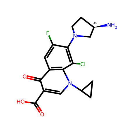 N[C@@H]1CCN(c2c(F)cc3c(=O)c(C(=O)O)cn(C4CC4)c3c2Cl)C1